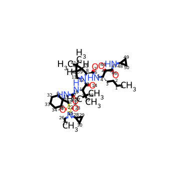 CCCC[C@H](NC(=O)[C@@H]1[C@@H]2[C@H](CN1C(=O)[C@@H](NC(=O)NC1(CS(=O)(=O)N(CC)C3CC3)CCCCC1)C(C)(C)C)C2(C)C)C(=O)C(=O)NC1CC1